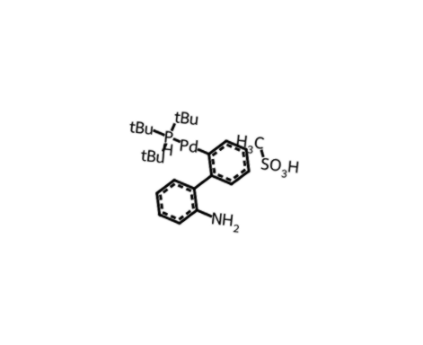 CC(C)(C)[PH]([Pd][c]1ccccc1-c1ccccc1N)(C(C)(C)C)C(C)(C)C.CS(=O)(=O)O